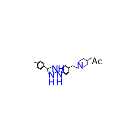 CC(=O)CC1CCN(CCc2ccc(NC3NCC(c4ccc(C)cc4)CN3)cc2)CC1